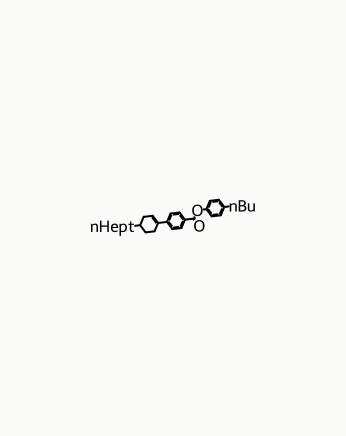 CCCCCCCC1CC=C(c2ccc(C(=O)Oc3ccc(CCCC)cc3)cc2)CC1